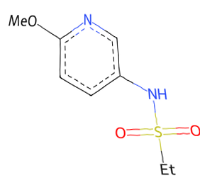 CCS(=O)(=O)Nc1ccc(OC)nc1